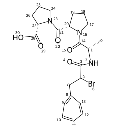 C[C@H](NC(=O)C(Br)Cc1ccccc1)C(=O)N1CCC[C@H]1C(=O)N1CCC[C@H]1C(=O)O